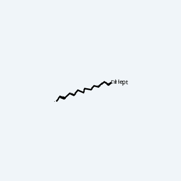 [CH2]/C=C/CCCCCCCCCCCCCCCCC